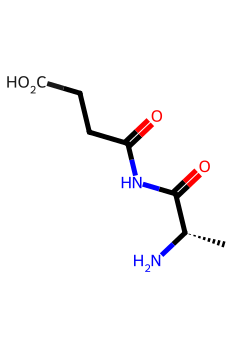 C[C@H](N)C(=O)NC(=O)CCC(=O)O